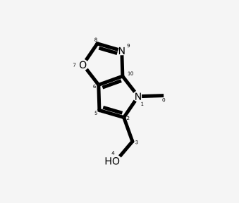 Cn1c(CO)cc2ocnc21